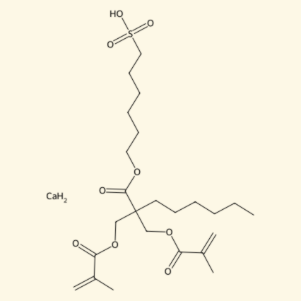 C=C(C)C(=O)OCC(CCCCCC)(COC(=O)C(=C)C)C(=O)OCCCCCCS(=O)(=O)O.[CaH2]